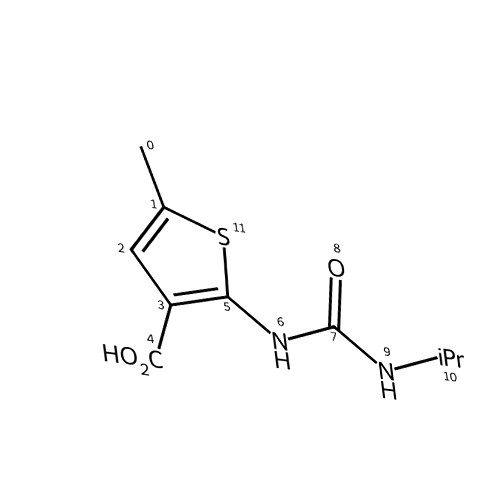 Cc1cc(C(=O)O)c(NC(=O)NC(C)C)s1